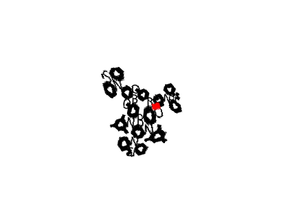 Cc1cc(C)c(N2c3cc4c(cc3B3c5cc6c(cc5N(c5c(C)cc(C)cc5C)c5cc(N7c8ccccc8[Si](C)(C)c8ccccc87)cc2c53)Oc2cc(N3c5ccccc5[Si](C)(C)c5ccccc53)cc3c2B6c2ccccc2O3)B2c3ccccc3Oc3cc(N5c6ccccc6[Si](C)(C)c6ccccc65)cc(c32)O4)c(C)c1